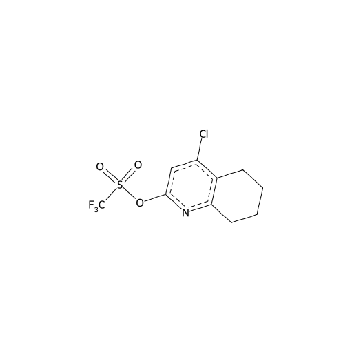 O=S(=O)(Oc1cc(Cl)c2c(n1)CCCC2)C(F)(F)F